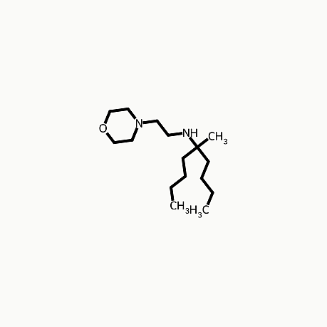 CCCCC(C)(CCCC)NCCN1CCOCC1